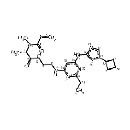 C=CC(=O)N(C)[C@@H](C)C(=O)NCCNc1cc(Nc2ncc(C3CCC3)s2)nc(CC)n1